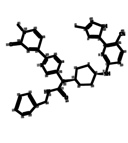 Cc1cc(-c2nc(N[C@H]3CC[C@H](N(C(=O)NCc4ccccc4)c4ccc(-c5ccn(C)c(=O)c5)nc4)CC3)ncc2C#N)[nH]n1